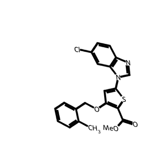 COC(=O)c1sc(-n2cnc3ccc(Cl)cc32)cc1OCc1ccccc1C